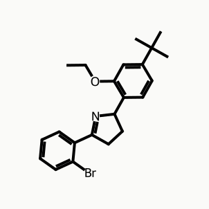 CCOc1cc(C(C)(C)C)ccc1C1CCC(c2ccccc2Br)=N1